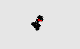 c1ccc(-c2cccc(-c3nc(-c4ccc(-c5cccc6c5-c5ccccc5OC6)cc4)nc(-c4ccccc4-c4ccccc4)n3)c2)cc1